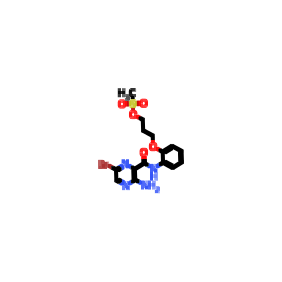 CS(=O)(=O)OCCCOc1ccccc1NC(=O)c1nc(Br)cnc1N